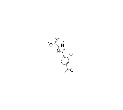 COc1cc(C(C)=O)ccc1-c1cn2ccnc(OC)c2n1